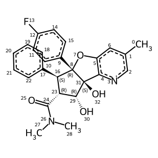 Cc1cnc2c(c1)O[C@@]1(c3ccc(F)cc3)[C@H](c3ccccc3)[C@@H](C(=O)N(C)C)[C@@H](O)[C@@]21O